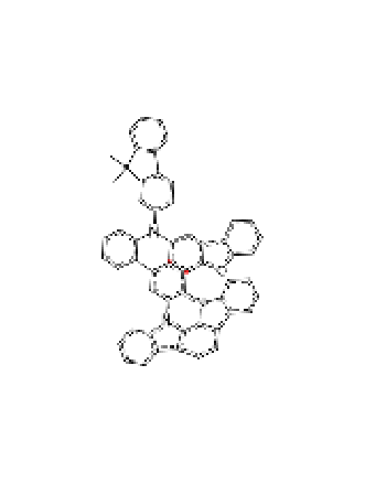 CC1(C)c2ccccc2-c2ccc(N(c3ccc4oc5ccccc5c4c3)c3ccccc3-c3ccc4c(c3)n3c5ccccc5c5ccc6c7ccccc7n4c6c53)cc21